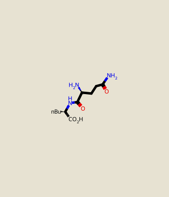 CCCC[C@H](NC(=O)[C@@H](N)CCC(N)=O)C(=O)O